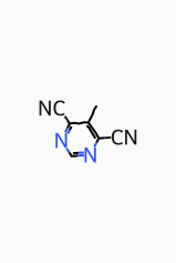 Cc1c(C#N)ncnc1C#N